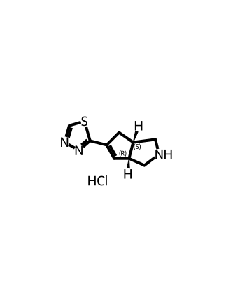 C1=C(c2nncs2)C[C@@H]2CNC[C@H]12.Cl